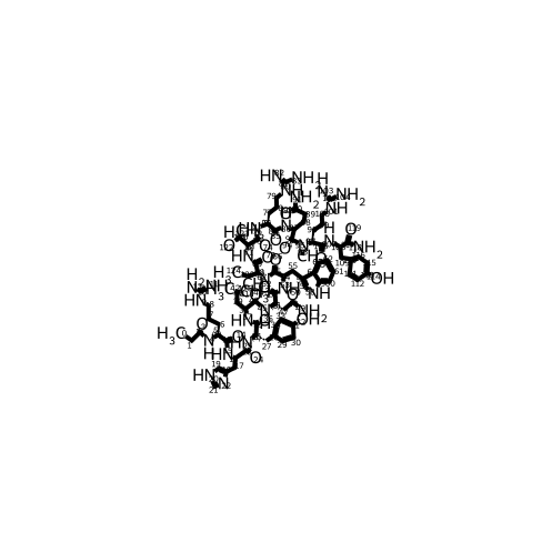 CCC(=O)N[C@@H](CCCNC(=N)N)C(=O)NC(Cc1c[nH]cn1)C(=O)N[C@@H](Cc1ccc(O)cc1)C(=O)NC(CC(C)C)C(=O)N[C@@H](CC(N)=O)C(=O)NC(Cc1c[nH]c2ccccc12)C(=O)N[C@H](C(=O)N[C@H](C(=O)N[C@@H](CCCNC(=N)N)C(=O)NC(CCC(N)=O)C(=O)N(C)[C@@H](CCCNC(=N)N)C(=O)NC(Cc1ccc(O)cc1)C(N)=O)[C@@H](C)O)C(C)C